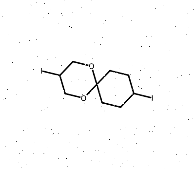 IC1CCC2(CC1)OCC(I)CO2